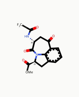 COC(=O)[C@@H]1Cc2cccc3c2N1C(=O)[C@H](NC(=O)C(F)(F)F)CC3=O